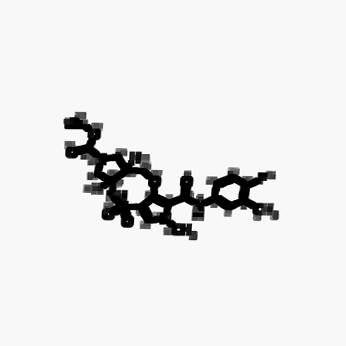 Cc1cc(NC(=O)c2c3c(cn2C)S(=O)(=O)N[C@@H]2CN(C(=O)OC(C)(C)C)C[C@H]2CO3)ccc1F